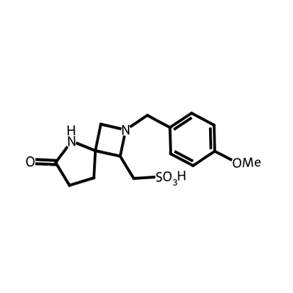 COc1ccc(CN2CC3(CCC(=O)N3)C2CS(=O)(=O)O)cc1